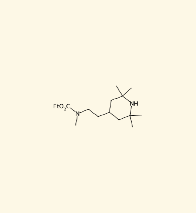 CCOC(=O)N(C)CCC1CC(C)(C)NC(C)(C)C1